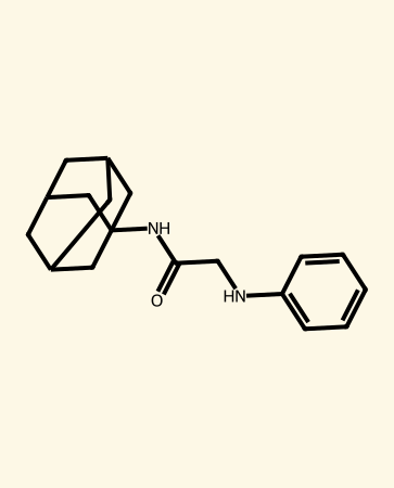 O=C(CNc1ccccc1)NC12CC3CC(CC(C3)C1)C2